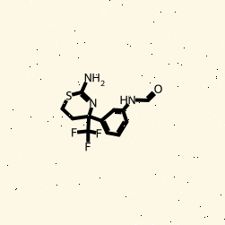 NC1=NC(c2cccc(NC=O)c2)(C(F)(F)F)CCS1